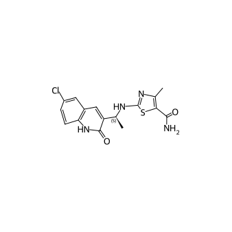 Cc1nc(N[C@@H](C)c2cc3cc(Cl)ccc3[nH]c2=O)sc1C(N)=O